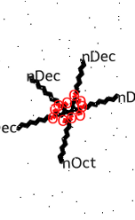 CCCCCCCC/C=C\CCCCCCCC(=O)OC(C(CC(=O)OCCCCCCCCCCCCCCCCCC)C(=O)OCCCCCCCCCCCCCCCCCC)C(CC(=O)OCCCCCCCCCCCCCCCCCC)C(=O)OCCCCCCCCCCCCCCCCCC